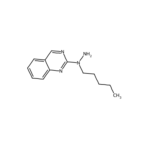 CCCCCN(N)c1ncc2ccccc2n1